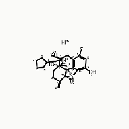 C=C1CC[C@@]2(O)[C@H]3Cc4c(C)cc(O)c5c4[C@@]2(CC[N+]3(C)C2CCCC2)[C@H]1O5.I